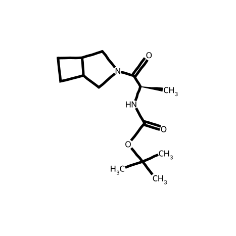 C[C@@H](NC(=O)OC(C)(C)C)C(=O)N1CC2CCC2C1